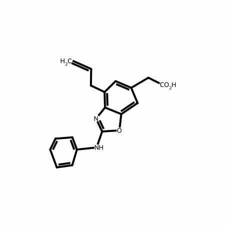 C=CCc1cc(CC(=O)O)cc2oc(Nc3ccccc3)nc12